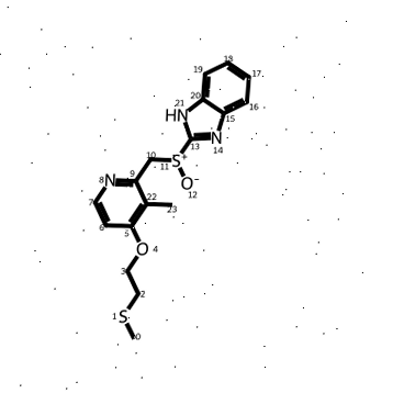 CSCCOc1ccnc(C[S+]([O-])c2nc3ccccc3[nH]2)c1C